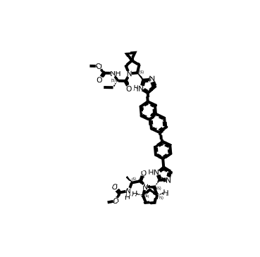 CC[C@H](NC(=O)OC)C(=O)N1CC2(CC2)C[C@H]1c1ncc(-c2ccc3cc(-c4ccc(-c5cnc([C@@H]6[C@H]7CC[C@H](C7)N6C(=O)[C@H](C)NC(=O)OC)[nH]5)cc4)ccc3c2)[nH]1